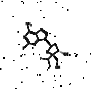 Nc1nc(F)nc2c1ncn2[C@H]1C[C@H](O)[C@](CO)(C(F)F)O1